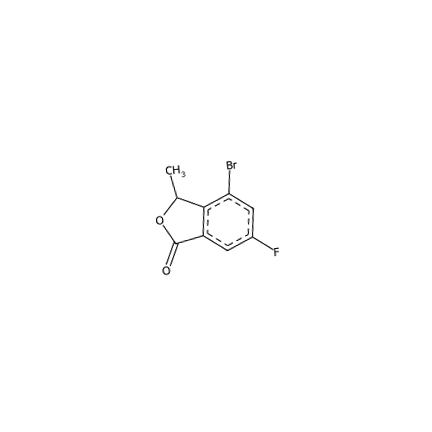 CC1OC(=O)c2cc(F)cc(Br)c21